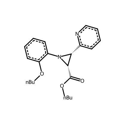 CCCCOC(=O)[C@H]1[C@@H](c2ccccn2)N1c1ccccc1OCCCC